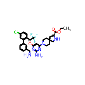 CCOC(=O)[C@@H]1CC2(CCN(c3cc(O[C@H](c4ccc(Cl)cc4-c4cccc(CN)c4)C(F)(F)F)nc(N)n3)CC2)CN1